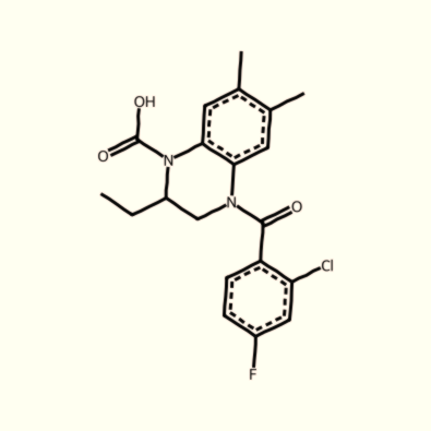 CCC1CN(C(=O)c2ccc(F)cc2Cl)c2cc(C)c(C)cc2N1C(=O)O